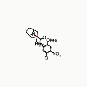 COc1cc([N+](=O)[O-])c(Cl)cc1NC(=O)C1CC2CCC(C1)N2CCC(C)C